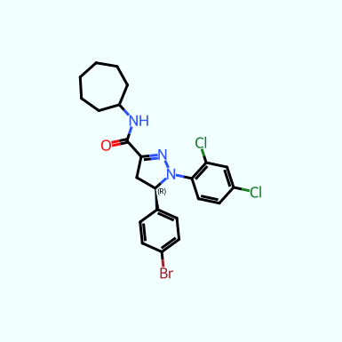 O=C(NC1CCCCCC1)C1=NN(c2ccc(Cl)cc2Cl)[C@@H](c2ccc(Br)cc2)C1